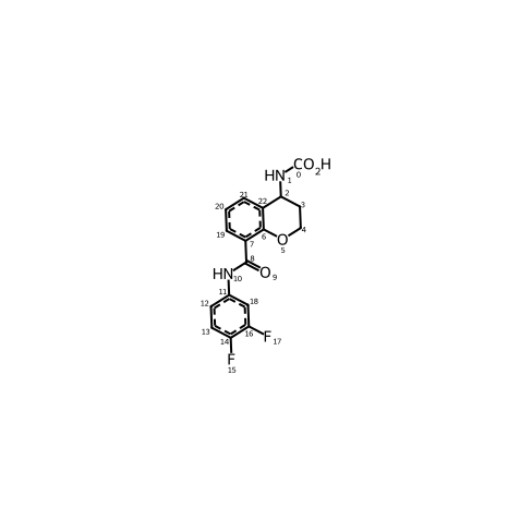 O=C(O)NC1CCOc2c(C(=O)Nc3ccc(F)c(F)c3)cccc21